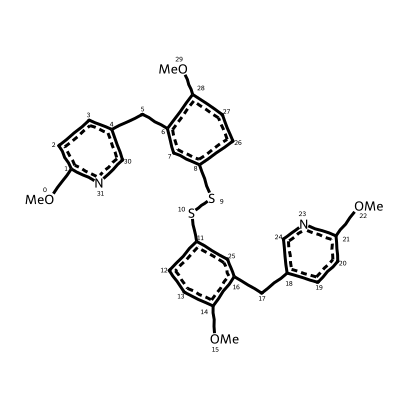 COc1ccc(Cc2cc(SSc3ccc(OC)c(Cc4ccc(OC)nc4)c3)ccc2OC)cn1